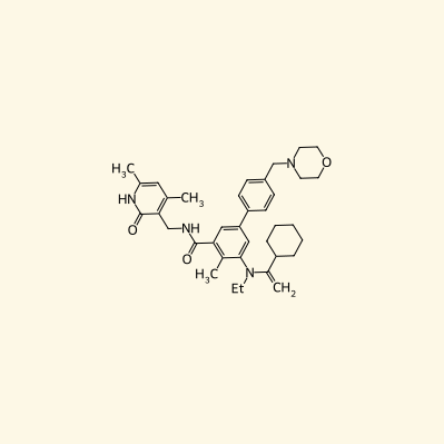 C=C(C1CCCCC1)N(CC)c1cc(-c2ccc(CN3CCOCC3)cc2)cc(C(=O)NCc2c(C)cc(C)[nH]c2=O)c1C